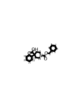 O=C(OCc1ccccc1)N1CCC(C(=O)O)(c2ccccc2)CC1